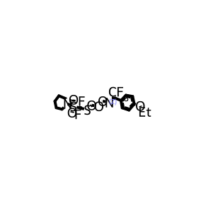 CCOc1ccc(/C(=N/OOOSC(F)(F)S(=O)(=O)N2CCCCC2)C(F)(F)F)cc1